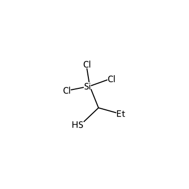 [CH2]CC(S)[Si](Cl)(Cl)Cl